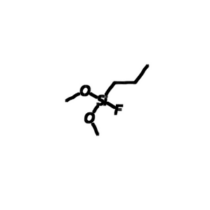 CCC[Si](F)(OC)OC